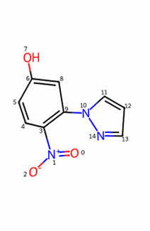 O=[N+]([O-])c1ccc(O)cc1-n1cccn1